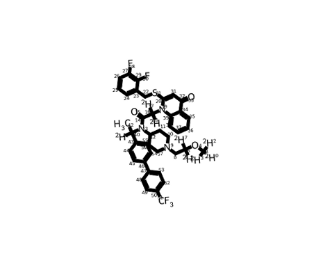 [2H]C([2H])([2H])OC([2H])([2H])CN1CCC(N(C(=O)C([2H])([2H])n2c(SCc3cccc(F)c3F)cc(=O)c3ccccc32)C([2H])(C)c2ccc(-c3ccc(C(F)(F)F)cc3)cc2)CC1